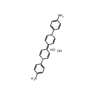 Cl.Cl.Nc1ccc(N2C=CC(=C3C=CN(c4ccc(N)cc4)C=C3)C=C2)cc1